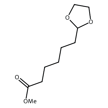 COC(=O)CCCCCC1OCCO1